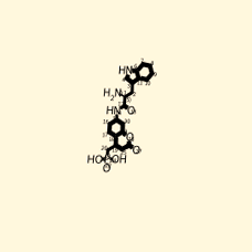 N[C@@H](Cc1c[nH]c2ccccc12)C(=O)Nc1ccc2c(CP(=O)(O)O)cc(=O)oc2c1